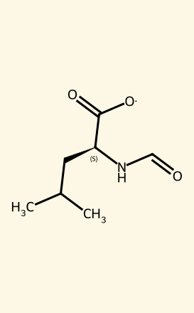 CC(C)C[C@H](NC=O)C([O])=O